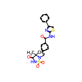 CC1(C)C(=O)NS(=O)(=O)N1Cc1ccc(C(=O)Nc2nc(-c3ccccc3)cs2)cc1